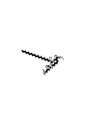 CCCCCCCCCCCCCCCCCCNC(=O)N1CC(C(N)=O)CCC1CCON(C=O)CCCN(C)C